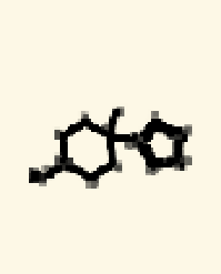 CC(C)N1CCC(C)(n2cnnc2)CC1